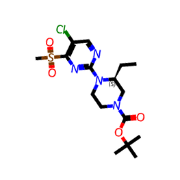 CC[C@H]1CN(C(=O)OC(C)(C)C)CCN1c1ncc(Cl)c(S(C)(=O)=O)n1